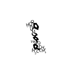 CC(C)(C)c1cccc(NC(=O)c2ccc(C3CCN(C(=O)[C@@H]4CCC[C@H]4C(=O)O)CC3)cc2)c1